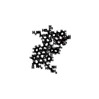 C[C@@H](O)[C@H](NC(=O)[C@H](Cc1ccccc1)NC(=O)[C@@H](NC(=O)[C@H](CCCCN)NC(=O)[C@@H](Cc1c[nH]c2ccccc12)NC(=O)[C@H](Cc1ccccc1)NC(=O)[C@H](Cc1ccccc1)NC(=O)[C@@H](Cc1c[nH]cn1)NC(=O)[C@H](CCCNC(=N)N)NC(=O)[C@@H](N)CS)[C@@H](C)O)C(=O)N[C@@H](CO)C(=O)N[C@@H](CS)C(=O)O